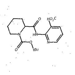 CC(C)(C)OC(=O)N1CCCCC1C(=O)Nc1ncccc1C(=O)O